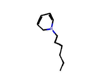 CCCCCCN1[CH]C=CC=C1